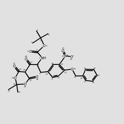 CC(C)(C)OC(=O)NC(Cc1ccc(OCc2ccccc2)c([N+](=O)[O-])c1)C(=O)C1C(=O)OC(C)(C)OC1=O